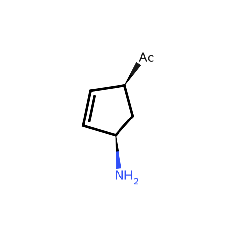 CC(=O)[C@@H]1C=C[C@H](N)C1